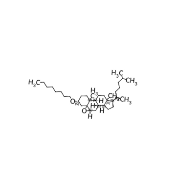 CCCCCCCCO[C@H]1CC[C@]2(C)[C@H]3CC[C@]4(C)[C@@H]([C@H](C)CCCC(C)C)CC[C@H]4[C@@H]3C[C@@H]3OC32C1